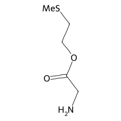 CSCCOC(=O)CN